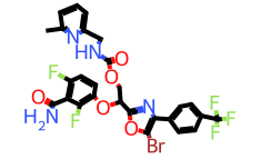 Cc1cccc(CNC(=O)OCC(Oc2ccc(F)c(C(N)=O)c2F)c2nc(-c3ccc(C(F)(F)F)cc3)c(Br)o2)n1